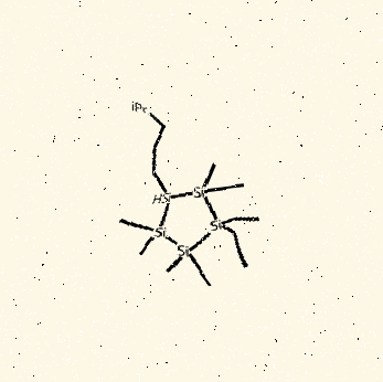 CC(C)CC[SiH]1[Si](C)(C)[Si](C)(C)[Si](C)(C)[Si]1(C)C